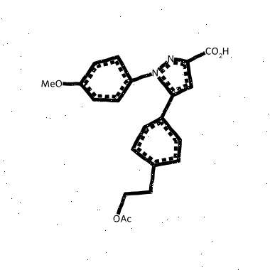 COc1ccc(-n2nc(C(=O)O)cc2-c2ccc(CCOC(C)=O)cc2)cc1